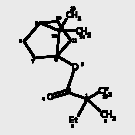 CCC(C)(C(=O)OC12CCC(CC1)C2(C)C)C(F)(F)F